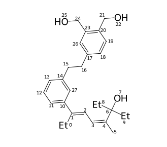 CCC(=CC=C(C)C(O)(CC)CC)c1cccc(CCc2ccc(CO)c(CO)c2)c1